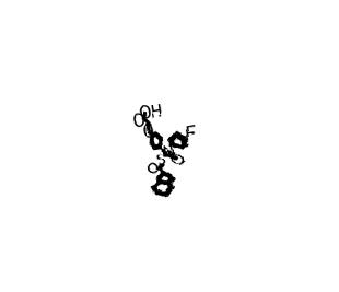 O=C(O)COc1ccc([C@@H]2[C@@H](SCC(=O)c3ccc4c(c3)CCCC4)C(=O)N2c2ccc(F)cc2)cc1